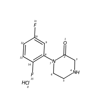 Cl.O=C1CNCCN1c1cc(F)ccc1F